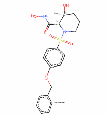 Cc1ccccc1COc1ccc(S(=O)(=O)N2CCC[C@](C)(O)[C@@H]2C(=O)NO)cc1